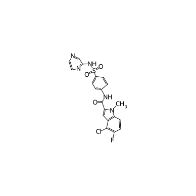 Cn1c(C(=O)Nc2ccc(S(=O)(=O)Nc3cnccn3)cc2)cc2c(Cl)c(F)ccc21